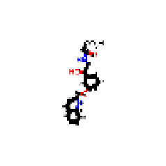 O=C(O)CC(=O)NCC(O)c1cccc(OCc2ccc3ccccc3n2)c1